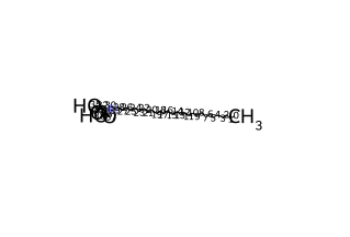 CCCCCCCCCCCCCCCCCCCCCCCCCCCCC/C=C/C(CC(=O)O)C(=O)O